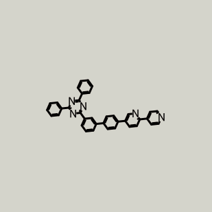 c1ccc(-c2nc(-c3ccccc3)nc(-c3cccc(-c4ccc(-c5ccc(-c6ccncc6)nc5)cc4)c3)n2)cc1